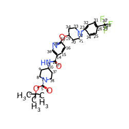 CC(C)(C)OC(=O)N1CCC(NC(=O)c2ccc(OC3CCN(c4ccc(C(F)(F)F)cc4)CC3)nc2)CC1